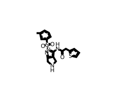 Cc1cccc(S(=O)(=O)n2nc3c(c2NC(=O)Cc2cccs2)CNC3)c1